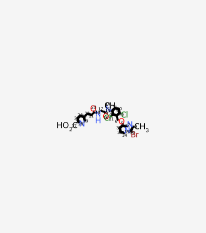 Cc1nc2c(OCc3c(Cl)ccc(N(C)C(=O)CNC(=O)/C=C/c4ccc(C(=O)O)nc4)c3Cl)cccn2c1Br